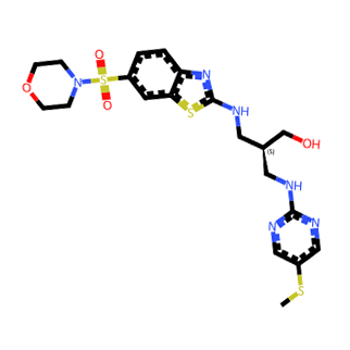 CSc1cnc(NC[C@H](CO)CNc2nc3ccc(S(=O)(=O)N4CCOCC4)cc3s2)nc1